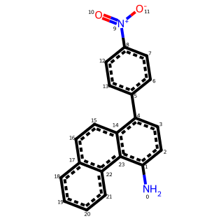 Nc1ccc(-c2ccc([N+](=O)[O-])cc2)c2ccc3ccccc3c12